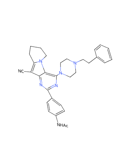 CC(=O)Nc1ccc(-c2nc(N3CCN(CCc4ccccc4)CC3)c3c(n2)c(C#N)c2n3CCCC2)cc1